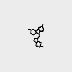 Cc1ccc2c(c1)c1c(n2/C=C2\CCc3cnc(C)cc32)CCN(C)C1